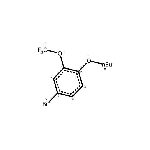 CCCCOc1ccc(Br)cc1OC(F)(F)F